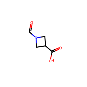 O=[C]N1CC(C(=O)O)C1